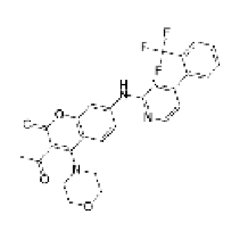 CC(=O)c1c(N2CCOCC2)c2ccc(Nc3nccc(-c4ccccc4C(F)(F)F)n3)cc2oc1=O